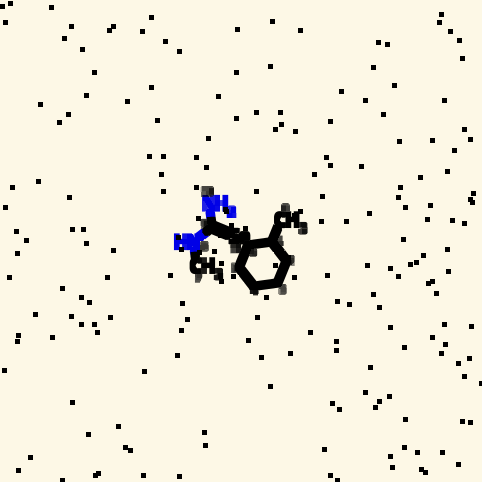 CC1CCCCC1.CNC(N)=[Se]